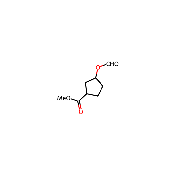 COC(=O)C1CCC(OC=O)C1